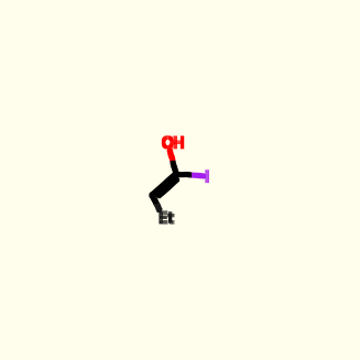 CCC=C(O)I